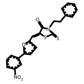 O=C1C(=Cc2ccc(-c3cccc([N+](=O)[O-])c3)o2)SC(=S)N1CCc1ccccc1